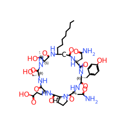 CCCCCCCCC1CC(=O)N[C@@H](CC(N)=O)C(=O)N[C@H](Cc2ccc(O)cc2)C(=O)N[C@H](CC(N)=O)C(=O)N2CCC[C@H]2C(=O)N[C@@H](CCC(=O)O)C(=O)N[C@H](CO)C(=O)N[C@@H]([C@@H](C)O)C(=O)N1